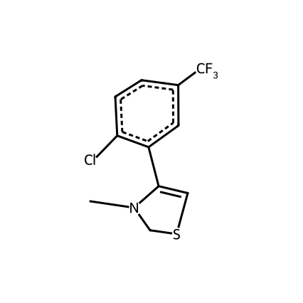 CN1CSC=C1c1cc(C(F)(F)F)ccc1Cl